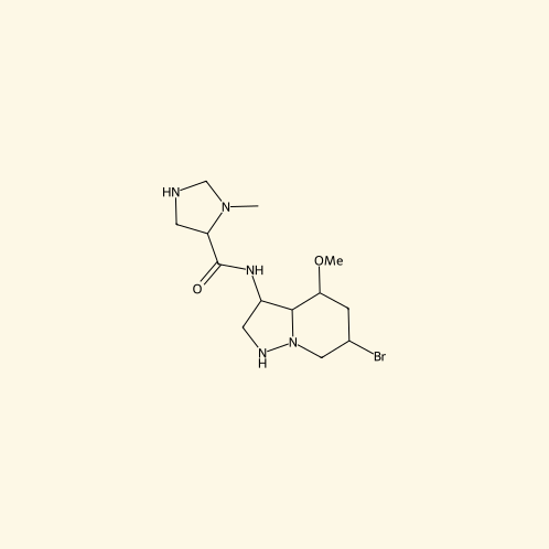 COC1CC(Br)CN2NCC(NC(=O)C3CNCN3C)C12